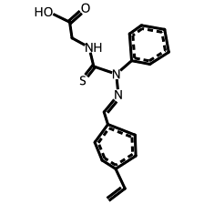 C=Cc1ccc(C=NN(C(=S)NCC(=O)O)c2ccccc2)cc1